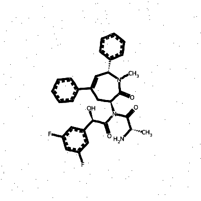 C[C@H](N)C(=O)N(C(=O)[C@H](O)c1cc(F)cc(F)c1)[C@H]1CC(c2ccccc2)=C[C@H](c2ccccc2)N(C)C1=O